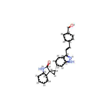 O=Cc1ccc(/C=C/c2n[nH]c3cc([C@@H]4C[C@@]45C(=O)Nc4ccccc45)ccc23)cc1